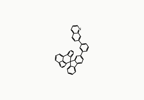 c1cc(-c2ccc3c(c2)C2(c4ccccc4-3)c3ccccc3-c3cccc4cccc2c34)cc(-c2ccc3cccnc3c2)c1